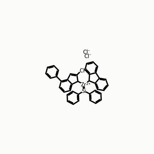 CC1=Cc2c(-c3ccccc3)cccc2[CH]1[Zr+2]([CH]1c2ccccc2-c2ccccc21)=[Si](c1ccccc1)c1ccccc1.[Cl-].[Cl-]